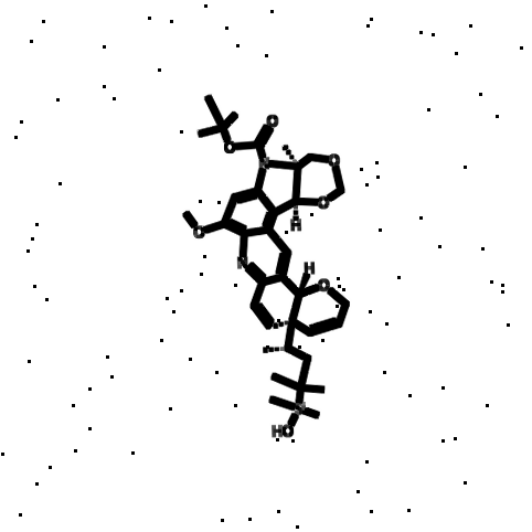 COc1cc2c(c3cc4c(nc13)C=C[C@@]1([C@@H](C)CC(C)(C)[Si](C)(C)O)C=CCO[C@@H]41)[C@@H]1OCOC[C@]1(C)N2C(=O)OC(C)(C)C